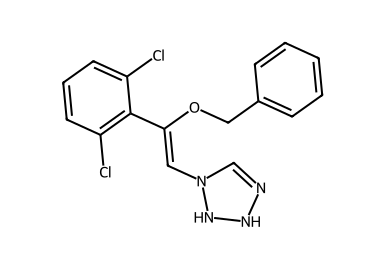 Clc1cccc(Cl)c1C(=CN1C=NNN1)OCc1ccccc1